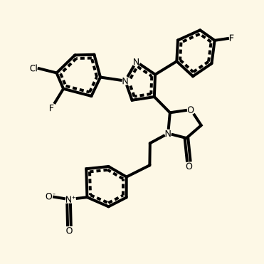 O=C1COC(c2cn(-c3ccc(Cl)c(F)c3)nc2-c2ccc(F)cc2)N1CCc1ccc([N+](=O)[O-])cc1